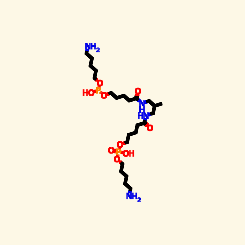 CC(CNC(=O)CCCCOP(O)OCCCCCN)CNC(=O)CCCCOP(=O)(O)OCCCCCN